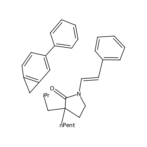 CCCCCC1(CC(C)C)CCN(/C=C/c2ccccc2)C1=O.c1ccc(-c2ccc3c(c2)C3)cc1